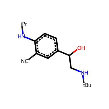 CC(C)Nc1ccc(C(O)CNC(C)(C)C)cc1C#N